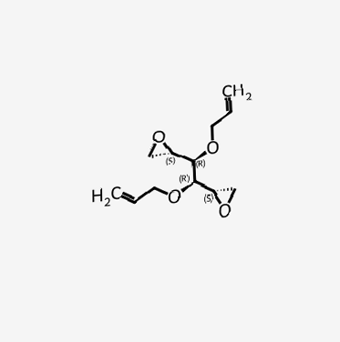 C=CCO[C@@H]([C@H](OCC=C)[C@@H]1CO1)[C@@H]1CO1